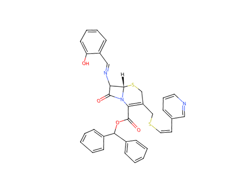 O=C(OC(c1ccccc1)c1ccccc1)C1=C(CS/C=C\c2cccnc2)CS[C@H]2C(N=Cc3ccccc3O)C(=O)N12